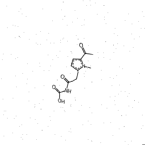 CC(=O)c1ccc(CC(=O)NC(=O)O)n1C